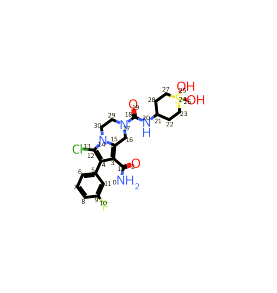 NC(=O)c1c(-c2cccc(F)c2)c(Cl)n2c1CN(C(=O)NC1CCS(O)(O)CC1)CC2